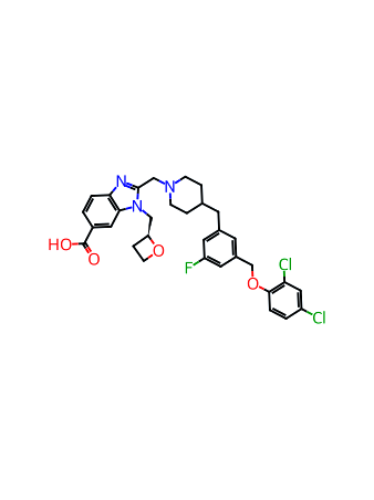 O=C(O)c1ccc2nc(CN3CCC(Cc4cc(F)cc(COc5ccc(Cl)cc5Cl)c4)CC3)n(C[C@@H]3CCO3)c2c1